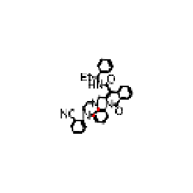 CC[C@H](NC(=O)c1c(CN2CCN(c3ccccc3C#N)CC2)n(-c2ccccc2)c(=O)c2ccccc12)c1ccccc1